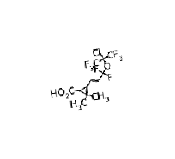 CC1(C)C(C=CC(F)(F)OC(Cl)(C(F)(F)F)C(F)(F)F)C1C(=O)O